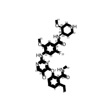 CCc1cccc(Oc2nc(Nc3cc(F)c(C(=O)N[C@@H]4CCNC[C@@H]4OC)cc3OC)ncc2Cl)c1C(=O)NC